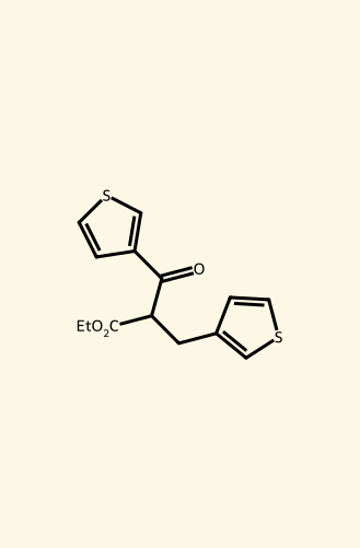 CCOC(=O)C(Cc1ccsc1)C(=O)c1ccsc1